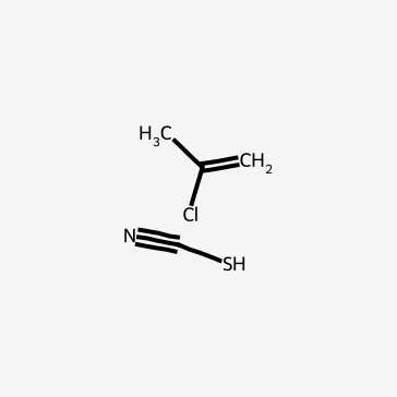 C=C(C)Cl.N#CS